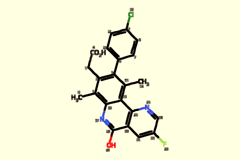 Cc1c(CC(=O)O)c(-c2ccc(Cl)cc2)c(C)c2c1nc(O)c1cc(F)cnc12